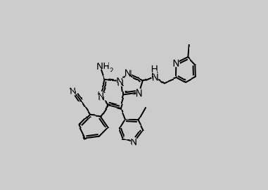 Cc1cccc(CNc2nc3c(-c4ccncc4C)c(-c4ccccc4C#N)nc(N)n3n2)n1